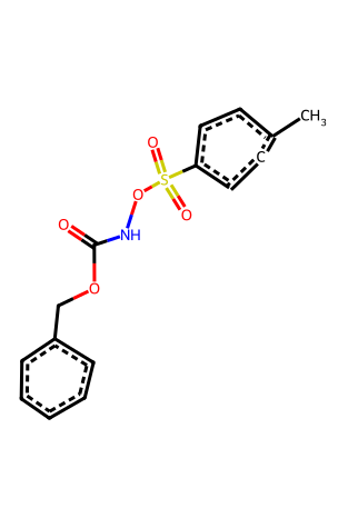 Cc1ccc(S(=O)(=O)ONC(=O)OCc2ccccc2)cc1